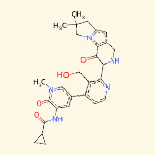 Cn1cc(-c2ccnc(C3NCc4cc5n(c4C3=O)CC(C)(C)C5)c2CO)cc(NC(=O)C2CC2)c1=O